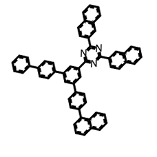 c1ccc(-c2ccc(-c3cc(-c4ccc(-c5cccc6ccccc56)cc4)cc(-c4nc(-c5ccc6ccccc6c5)nc(-c5ccc6ccccc6c5)n4)c3)cc2)cc1